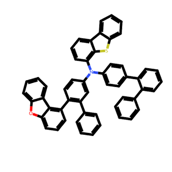 c1ccc(-c2ccccc2-c2ccc(N(c3ccc(-c4cccc5oc6ccccc6c45)c(-c4ccccc4)c3)c3cccc4c3sc3ccccc34)cc2)cc1